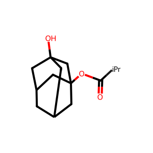 CC(C)C(=O)OC12CC3CC(CC(O)(C3)C1)C2